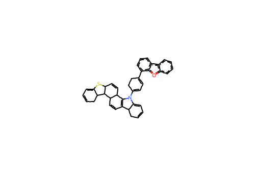 C1=CCC2C(=C1)N(C1=CC=C(c3cccc4c3oc3ccccc34)CC1)C1=C2C=CC2C1C=CC1SC3=CC=CCC3C12